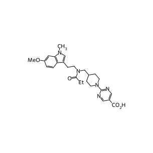 CCC(=O)N(CCc1cn(C)c2cc(OC)ccc12)CC1CCN(c2ncc(C(=O)O)cn2)CC1